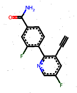 C#Cc1cc(F)cnc1-c1ccc(C(N)=O)cc1F